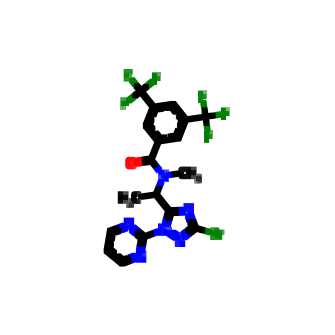 CC(c1nc(Br)nn1-c1ncccn1)N(C)C(=O)c1cc(C(F)(F)F)cc(C(F)(F)F)c1